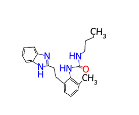 CCCCNC(=O)Nc1c(C)cccc1CCc1nc2ccccc2[nH]1